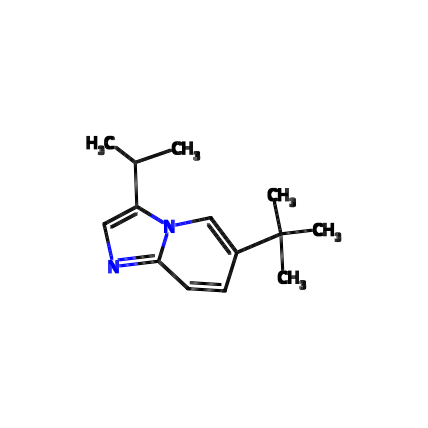 CC(C)c1cnc2ccc(C(C)(C)C)cn12